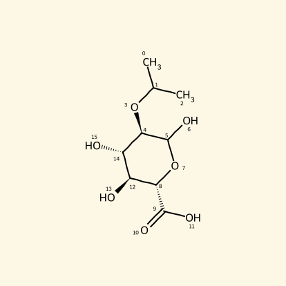 CC(C)O[C@H]1C(O)O[C@H](C(=O)O)[C@@H](O)[C@@H]1O